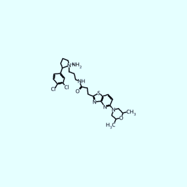 CC1CN(c2ccc3sc(CCC(=O)NCCC[N+]4(N)CCCC4c4ccc(Cl)c(Cl)c4)nc3n2)CC(C)O1